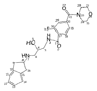 O=C(NCC(O)CNC1Cc2ccccc2C1)c1ccc(C(=O)N2CCOCC2)cc1F